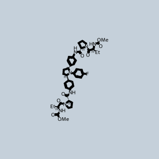 CC[C@H](NC(=O)OC)C(=O)N1CCC[C@H]1C(=O)NC1=CCC([C@H]2CC[C@H](c3ccc(NC(=O)[C@@H]4CCCN4C(=O)[C@H](CC)NC(=O)OC)cc3)N2c2ccc(F)cc2)C=C1